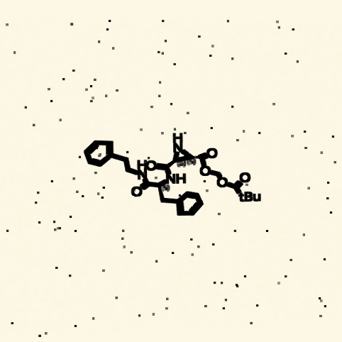 CC(C)(C)C(=O)OCOC(=O)[C@H]1N[C@@H]1C(=O)N[C@@H](Cc1ccccc1)C(=O)NCCc1ccccc1